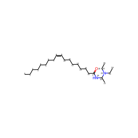 CCCCCCCC/C=C\CCCCCCCC(=O)NC(C)N(CC)CC